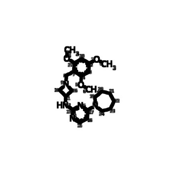 COc1cc(OC)c(CN2CC(Nc3nccc(N4CCCCCC4)n3)C2)c(OC)c1